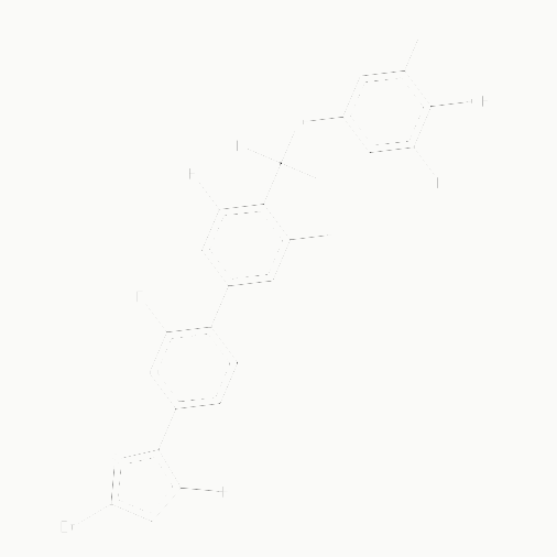 CCc1cc(F)c(-c2ccc(-c3cc(F)c(C(F)(F)Oc4cc(F)c(C(F)(F)F)c(F)c4)c(F)c3)c(F)c2)s1